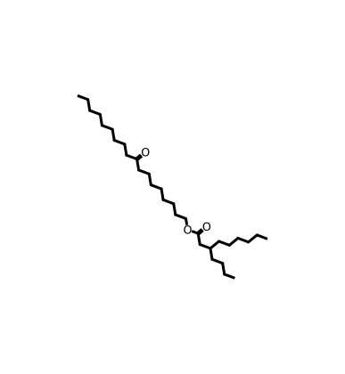 CCCCCCCCCC(=O)CCCCCCCCOC(=O)CC(CCCC)CCCCCC